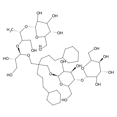 C[C@H](O[C@H]1OC(CO)[C@@H](O)C(O)C1O)C(CO)O[C@@H](OCC(CCCC1CCCCC1)(CCCC1CCCCC1)CO[C@@H]1OC(CO)[C@@H](O[C@@H]2OC(CO)[C@@H](O)[C@H](O)C2O)[C@H](O)C1O)[C@@H](O)CO